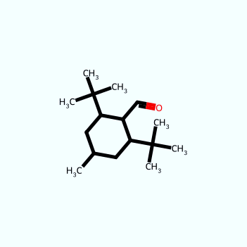 CC1CC(C(C)(C)C)C(C=O)C(C(C)(C)C)C1